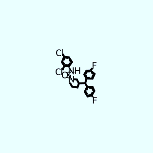 [O-][S+](Nc1ccc(Cl)cc1Cl)N1CCCC(C(c2ccc(F)cc2)c2ccc(F)cc2)C1